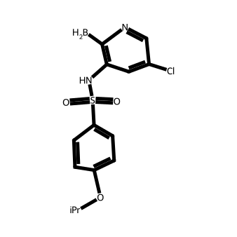 Bc1ncc(Cl)cc1NS(=O)(=O)c1ccc(OC(C)C)cc1